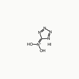 I.O[N+](O)=C1N=NN=N1